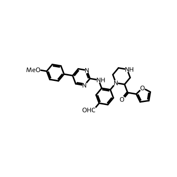 COc1ccc(-c2cnc(Nc3cc(C=O)ccc3N3CCNCC3C(=O)c3ccco3)nc2)cc1